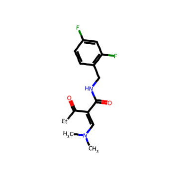 CCC(=O)/C(=C\N(C)C)C(=O)NCc1ccc(F)cc1F